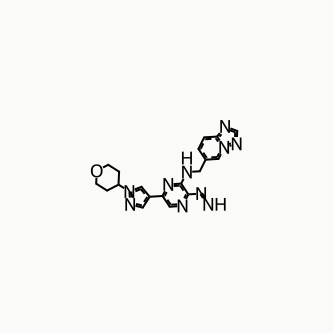 N=Nc1ncc(-c2cnn(C3CCOCC3)c2)nc1NCc1ccc2ncnn2c1